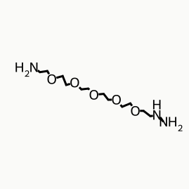 NCCOCCOCCOCCOCCOCCNN